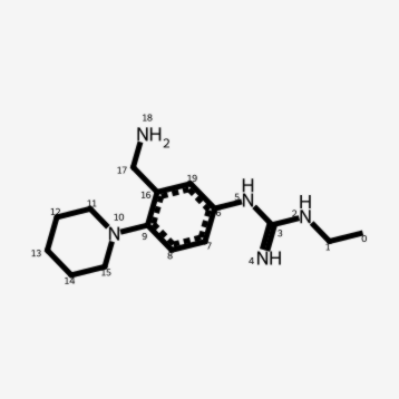 CCNC(=N)Nc1ccc(N2CCCCC2)c(CN)c1